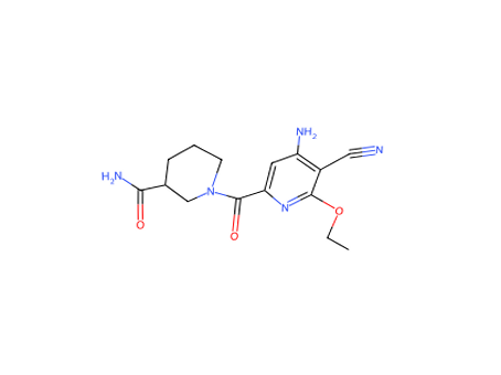 CCOc1nc(C(=O)N2CCCC(C(N)=O)C2)cc(N)c1C#N